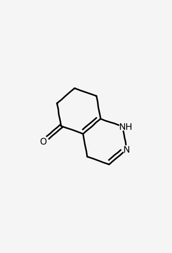 O=C1CCCC2=C1CC=NN2